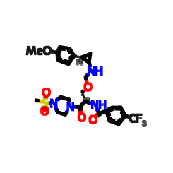 COc1ccc([C@@H]2CC2NCOC[C@H](NC(=O)c2ccc(C(F)(F)F)cc2)C(=O)N2CCN(S(C)(=O)=O)CC2)cc1